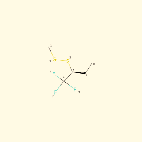 CC[C@H](SSC)C(F)(F)F